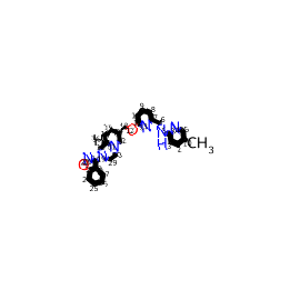 Cc1ccc(NCc2cccc(OC[C@@H]3CC[C@H]4CN(c5noc6ccccc56)CCN4C3)n2)nc1